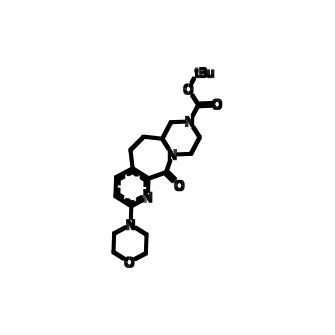 CC(C)(C)OC(=O)N1CCN2C(=O)c3nc(N4CCOCC4)ccc3CCC2C1